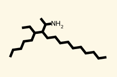 CCCCCCCCCCC(C(C)N)C(CC)CCCCC